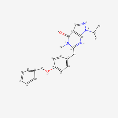 CC(C)n1ncc2c(=O)n(C)c(Cc3ccc(OCc4ccccc4)cc3)nc21